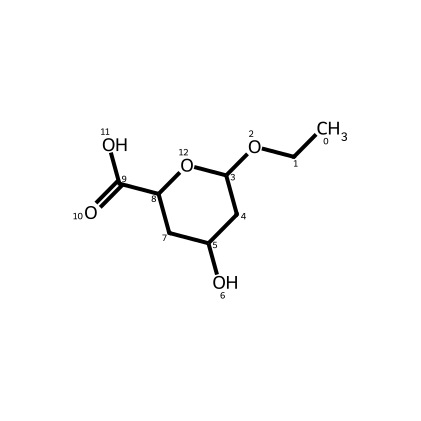 CCOC1CC(O)CC(C(=O)O)O1